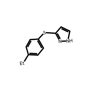 CCc1ccc(Sc2cc[nH]n2)cc1